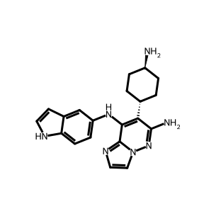 Nc1nn2ccnc2c(Nc2ccc3[nH]ccc3c2)c1[C@H]1CC[C@H](N)CC1